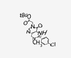 C[C@H]1Cc2ncn(CC(=O)OC(C)(C)C)c(=O)c2N[C@@H]1c1ccc(Cl)cc1